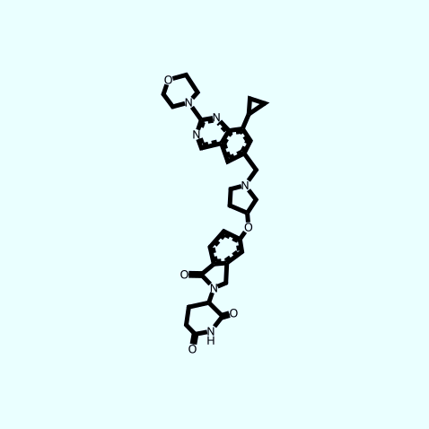 O=C1CCC(N2Cc3cc(OC4CCN(Cc5cc(C6CC6)c6nc(N7CCOCC7)ncc6c5)C4)ccc3C2=O)C(=O)N1